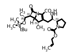 C=CCOC(=O)N1CCC[C@H]1C(O)CC1=C(C(=O)O)N2C(=O)[C@H]([C@@H](C)O[Si](C)(C)C(C)(C)C)[C@H]2[C@H]1C